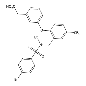 CCN(Cc1cc(C(F)(F)F)ccc1Oc1cccc(CC(=O)O)c1)S(=O)(=O)c1ccc(Br)cc1